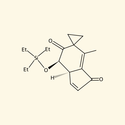 CC[Si](CC)(CC)O[C@H]1C(=O)C2(CC2)C(C)=C2C(=O)C=C[C@H]21